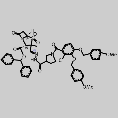 COc1ccc(COc2ccc(C(=O)N3CCC(C(=O)N/N=C/C4(C)[C@H](C(=O)OC(c5ccccc5)c5ccccc5)N5C(=O)C[C@H]5S4(=O)=O)C3)c(Cl)c2OCc2ccc(OC)cc2)cc1